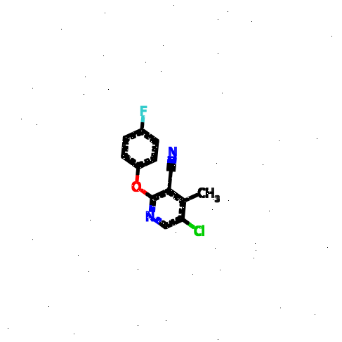 Cc1c(Cl)cnc(Oc2ccc(F)cc2)c1C#N